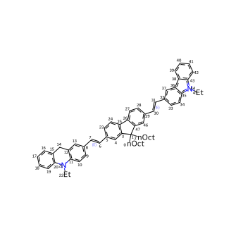 CCCCCCCCC1(CCCCCCCC)c2cc(/C=C/c3ccc4c(c3)Cc3ccccc3N4CC)ccc2-c2ccc(/C=C/c3ccc4c(c3)c3ccccc3n4CC)cc21